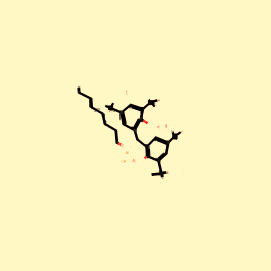 CCCCCCCCOP(O)Oc1c(Cc2cc(C(C)(C)C)cc(C(C)(C)C)c2O)cc(C(C)(C)C)cc1C(C)(C)C